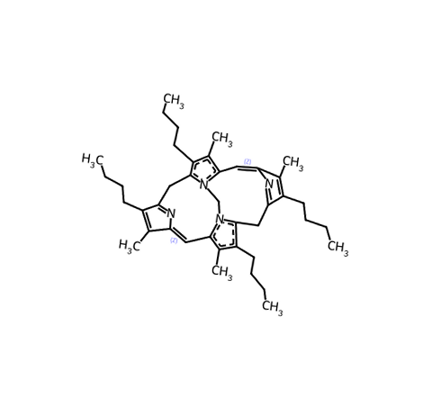 CCCCC1=C(C)/C2=C/c3c(C)c(CCCC)c4n3Cn3c(c(C)c(CCCC)c3CC1=N2)/C=C1\N=C(C4)C(CCCC)=C1C